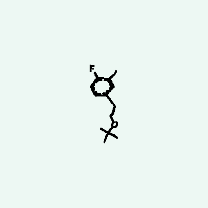 Cc1cc(CCOC(C)(C)C)ccc1F